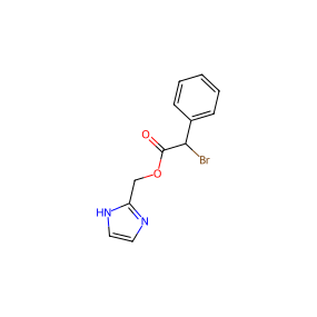 O=C(OCc1ncc[nH]1)C(Br)c1ccccc1